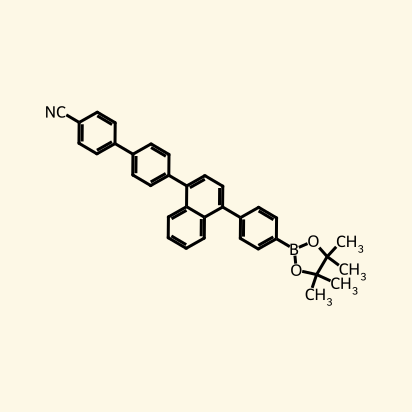 CC1(C)OB(c2ccc(-c3ccc(-c4ccc(-c5ccc(C#N)cc5)cc4)c4ccccc34)cc2)OC1(C)C